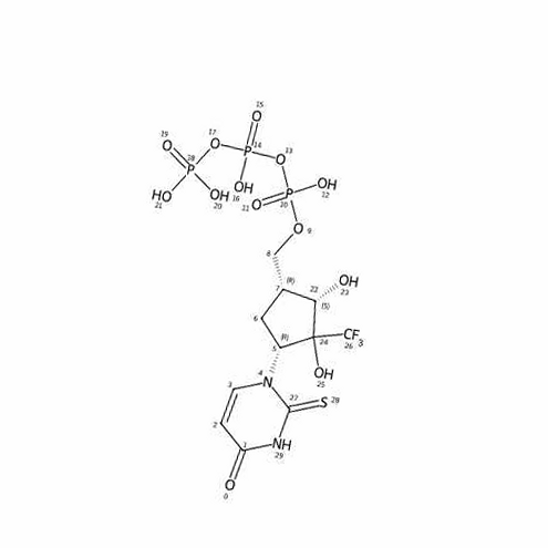 O=c1ccn([C@@H]2C[C@H](COP(=O)(O)OP(=O)(O)OP(=O)(O)O)[C@H](O)C2(O)C(F)(F)F)c(=S)[nH]1